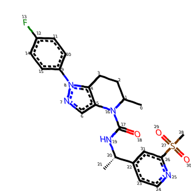 CC1CCc2c(cnn2-c2ccc(F)cc2)N1C(=O)N[C@@H](C)c1ccnc(S(C)(=O)=O)c1